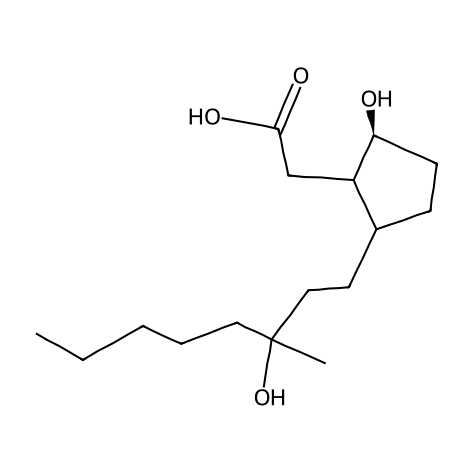 CCCCCC(C)(O)CCC1CC[C@H](O)C1CC(=O)O